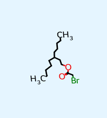 CCCCCC(CCCCC)CCOC(=O)CBr